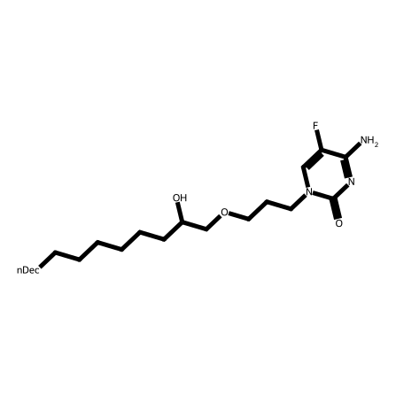 CCCCCCCCCCCCCCCCC(O)COCCCn1cc(F)c(N)nc1=O